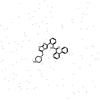 O=C(Nc1ccccc1-c1cn2c(CN3CCNCC3)csc2n1)c1ccccc1-c1ccccc1